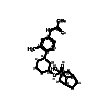 Cc1cc(NC(=O)OCC(C)C)cnc1N1CCCC(OC(=O)N2C3CCC2CC(O)C3)C1